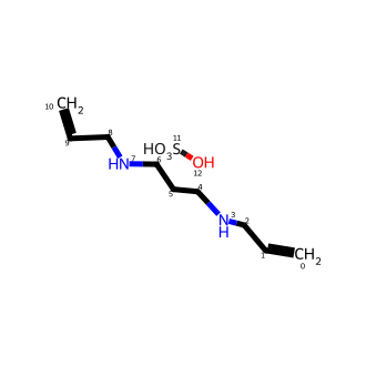 C=CCNCCCNCC=C.O=S(=O)(O)O